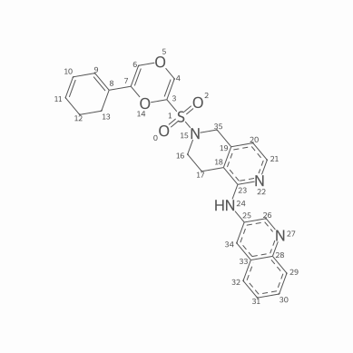 O=S(=O)(C1=COC=C(C2=CC=CCC2)O1)N1CCc2c(ccnc2Nc2cnc3ccccc3c2)C1